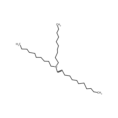 CCCCCCCCCCC=[CH][Al]([CH2]CCCCCCCCC)[CH2]CCCCCCCCC